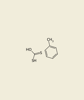 Cc1ccccc1.OC(=S)S